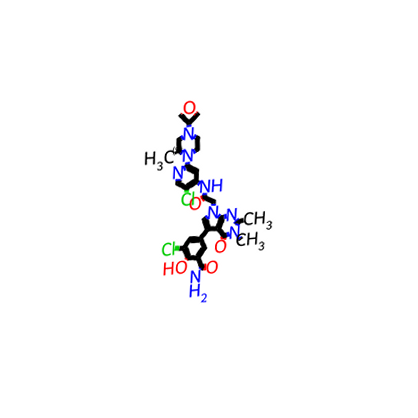 Cc1nc2c(c(-c3cc(Cl)c(O)c(C(N)=O)c3)cn2CC(=O)Nc2cc(N3CCN(C4COC4)C[C@@H]3C)ncc2Cl)c(=O)n1C